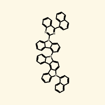 c1ccc2c(-c3nc(-n4c5ccccc5c5c(-n6c7ccccc7c7c8c9ccccc9n(-c9cccc%10ccccc9%10)c8ccc76)cccc54)nc4ccccc34)cccc2c1